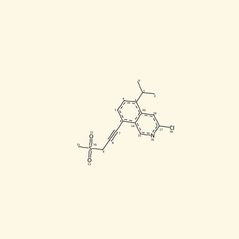 CC(C)c1ccc(C#CCS(C)(=O)=O)c2cnc(Cl)cc12